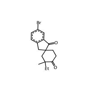 CCC1(C)CC2(CCC1=O)Cc1ccc(Br)cc1C2=O